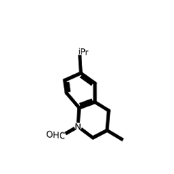 CC1Cc2cc(C(C)C)ccc2N(C=O)C1